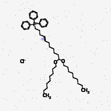 CCCCCCCCCOC(CCCCC/C=C/CCC[P+](c1ccccc1)(c1ccccc1)c1ccccc1)OCCCCCCCCC.[Cl-]